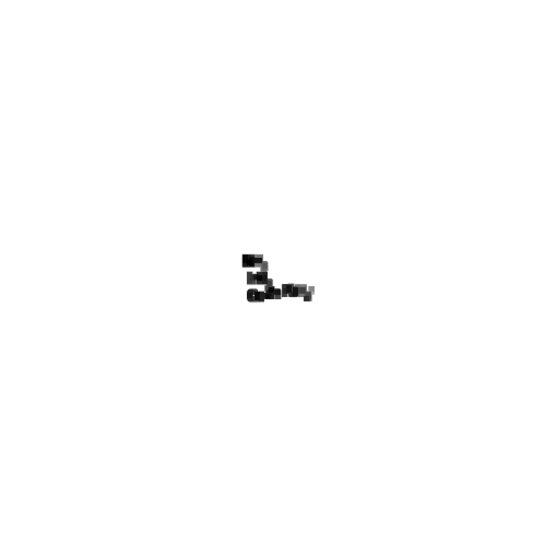 [BiH3].[Cu].[InH3].[PbH2].[Zn]